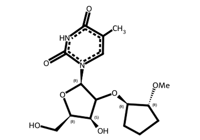 CO[C@@H]1CCC[C@H]1OC1[C@@H](O)[C@@H](CO)O[C@H]1n1cc(C)c(=O)[nH]c1=O